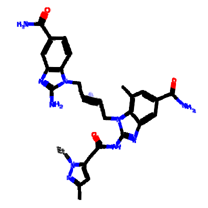 CCn1nc(C)cc1C(=O)Nc1nc2cc(C(N)=O)cc(C)c2n1C/C=C/Cn1c(N)nc2cc(C(N)=O)ccc21